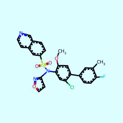 COc1cc(-c2ccc(F)c(C)c2)c(Cl)cc1N(c1ccon1)S(=O)(=O)c1ccc2cnccc2c1